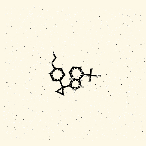 CCOc1ccc(C2(c3nnc4c(C(C)(C)O)cccn34)CC2)cc1